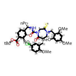 CCC[C@@H](NC(=O)N1CC(=S)N(Cc2c(OC)cc(OC)cc2OC)C[C@H](Cc2cc(Cl)ccc2OC)C1=O)c1ccc(C(=O)OC(C)(C)C)c([N+](=O)[O-])c1